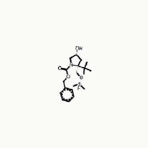 C[SiH](C)OC[C@@]1(C(C)(C)C)C[C@@H](O)CN1C(=O)OCc1ccccc1